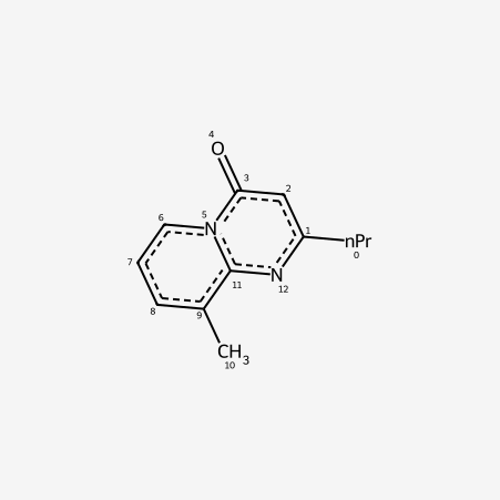 CCCc1cc(=O)n2cccc(C)c2n1